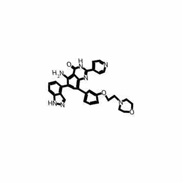 Nc1c(-c2cccc3[nH]ncc23)cc(-c2cccc(OCCN3CCOCC3)c2)c2nc(-c3ccncc3)[nH]c(=O)c12